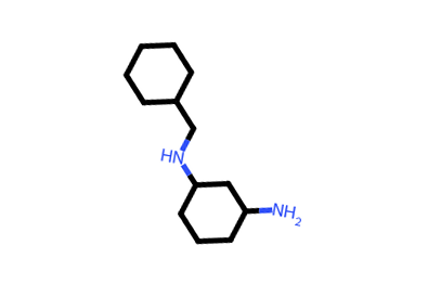 NC1CCCC(NCC2CCCCC2)C1